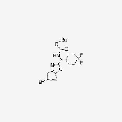 CC(C)(C)OC(=O)N[C@H](c1nc2cc(Br)ccc2o1)C1CCC(F)(F)CC1